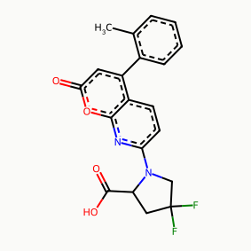 Cc1ccccc1-c1cc(=O)oc2nc(N3CC(F)(F)CC3C(=O)O)ccc12